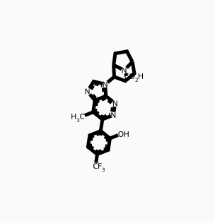 Cc1c(-c2ccc(C(F)(F)F)cc2O)nnc2c1ncn2C1CCC2CCC1N2C(=O)O